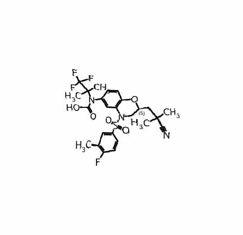 Cc1cc(S(=O)(=O)N2C[C@H](CC(C)(C)C#N)Oc3ccc(N(C(=O)O)C(C)(C)C(F)(F)F)cc32)ccc1F